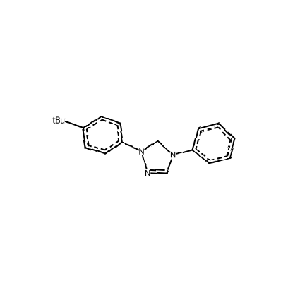 CC(C)(C)c1ccc(N2CN(c3ccccc3)C=N2)cc1